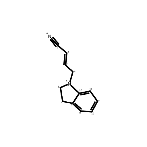 N#CC=CCN1CCc2ccccc21